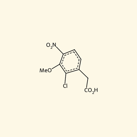 COc1c([N+](=O)[O-])ccc(CC(=O)O)c1Cl